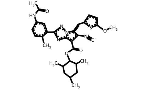 [C-]#[N+]c1c(C(=O)OC2C(C)CC(C)CC2C)c2nc(-c3cc(NC(C)=O)ccc3C)nn2/c1=C/c1ccc(OC)s1